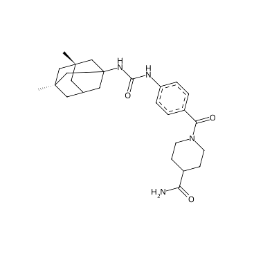 C[C@]12CC3CC(NC(=O)Nc4ccc(C(=O)N5CCC(C(N)=O)CC5)cc4)(C1)C[C@@](C)(C3)C2